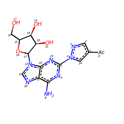 CC(=O)c1cnn(-c2nc(N)c3ncn(C4OC(CO)[C@@H](O)[C@H]4O)c3n2)c1